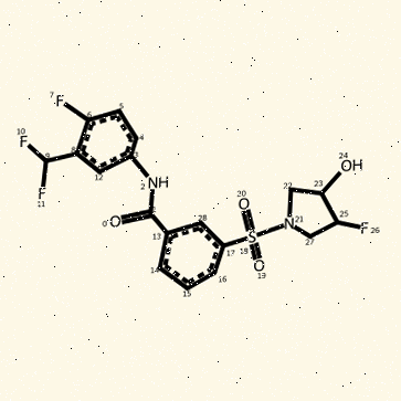 O=C(Nc1ccc(F)c(C(F)F)c1)c1cccc(S(=O)(=O)N2CC(O)C(F)C2)c1